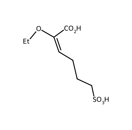 CCOC(=CCCCS(=O)(=O)O)C(=O)O